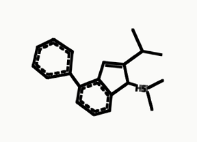 CC(C)C1=Cc2c(-c3ccccc3)cccc2C1[SiH](C)C